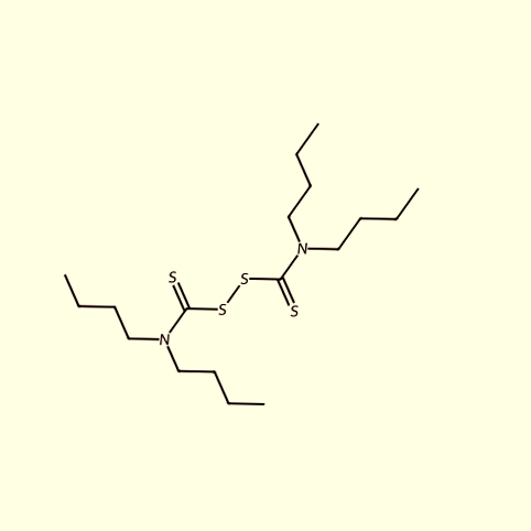 CCCCN(CCCC)C(=S)SSC(=S)N(CCCC)CCCC